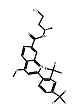 COc1cc(-c2ccc(C(F)(F)F)cc2C(F)(F)F)nc2cc(C(=O)N[C@H](C)CCO)ccc12